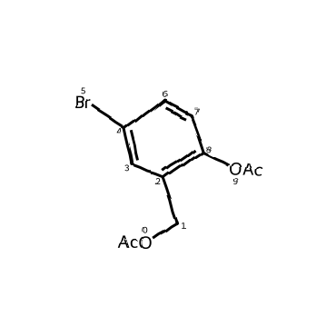 CC(=O)OCc1cc(Br)ccc1OC(C)=O